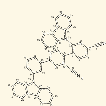 N#Cc1ccc(-c2ccc(-c3cccc(-n4c5ccccc5c5ccccc54)c3)cc2C#N)c(-n2c3ccccc3c3ccccc32)c1